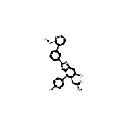 COc1ncccc1-c1cccc(-c2nc3cc(C)c(CC(=O)O)c(-c4ccc(Cl)cc4)c3s2)c1